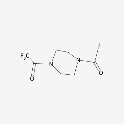 O=C(I)N1CCN(C(=O)C(F)(F)F)CC1